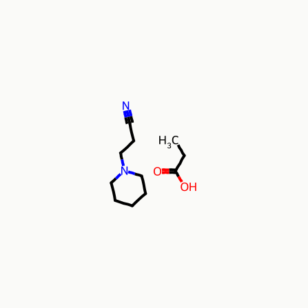 CCC(=O)O.N#CCCN1CCCCC1